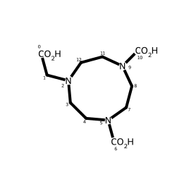 O=C(O)CN1CCN(C(=O)O)CCN(C(=O)O)CC1